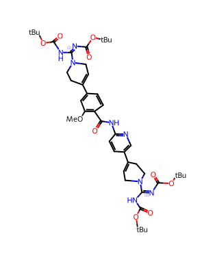 COc1cc(C2=CCN(/C(=N\C(=O)OC(C)(C)C)NC(=O)OC(C)(C)C)CC2)ccc1C(=O)Nc1ccc(C2=CCN(/C(=N\C(=O)OC(C)(C)C)NC(=O)OC(C)(C)C)CC2)cn1